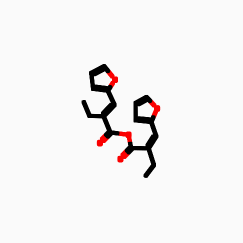 CCC(=Cc1ccco1)C(=O)OC(=O)C(=Cc1ccco1)CC